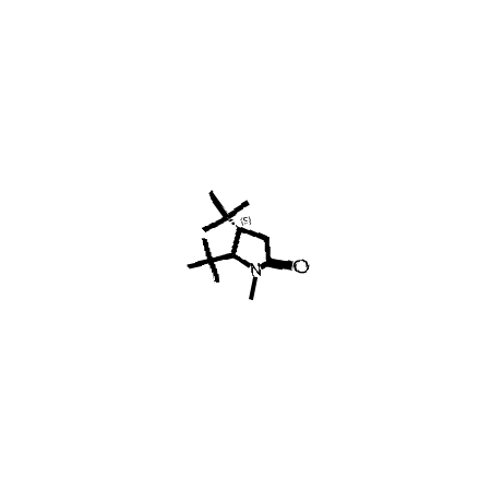 CN1C(=O)C[C@@H](C(C)(C)C)C1C(C)(C)C